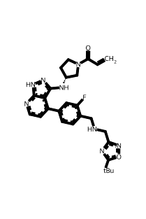 C=CC(=O)N1CC[C@@H](Nc2n[nH]c3nccc(-c4ccc(CNCc5noc(C(C)(C)C)n5)c(F)c4)c23)C1